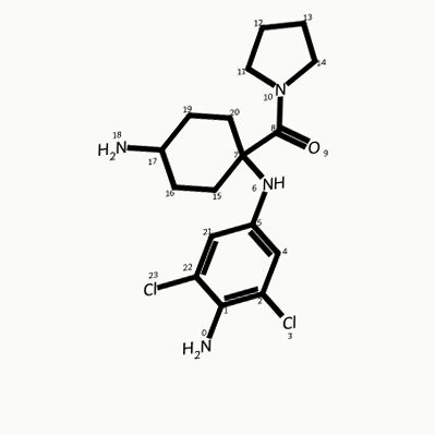 Nc1c(Cl)cc(NC2(C(=O)N3CCCC3)CCC(N)CC2)cc1Cl